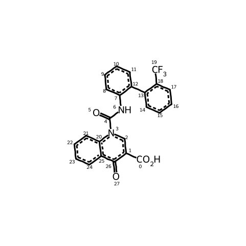 O=C(O)c1cn(C(=O)Nc2ccccc2-c2ccccc2C(F)(F)F)c2ccccc2c1=O